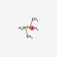 CCCCCCCCCCCCCCCCc1cc(C)ccc1-c1cc2sc3cc(-c4ccc(C5=C6C(=O)OC(C)=C6C(=O)O5)cc4CCCCCCCCCCCCCCCC)sc3c2s1